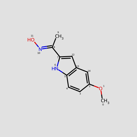 COc1ccc2[nH]c(C(C)=NO)cc2c1